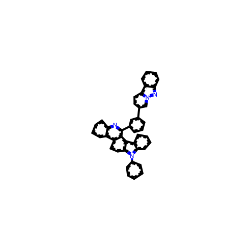 c1ccc(-n2c3ccccc3c3c4c(-c5cccc(-c6ccc7c8ccccc8nn7c6)c5)nc5ccccc5c4ccc32)cc1